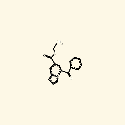 CCOC(=O)c1cc(C(=O)c2ccccc2)n2cccc2c1